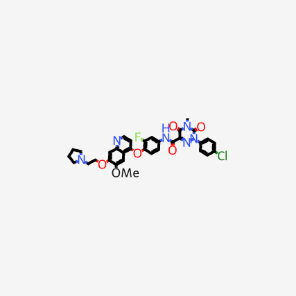 COc1cc2c(Oc3ccc(NC(=O)c4nn(-c5ccc(Cl)cc5)c(=O)n(C)c4=O)cc3F)ccnc2cc1OCCN1CCCC1